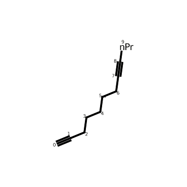 C#CCCC[CH]CC#CCCC